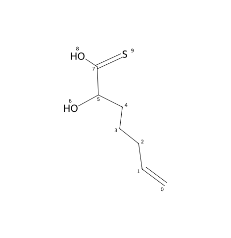 C=CCCCC(O)C(O)=S